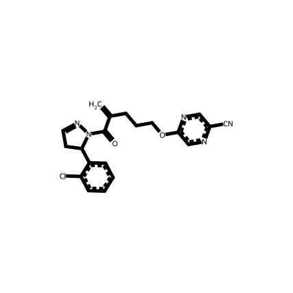 C=C(CCCOc1cnc(C#N)cn1)C(=O)N1N=CCC1c1ccccc1Cl